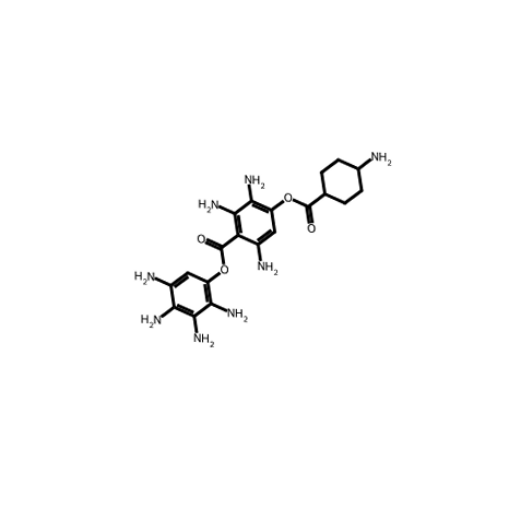 Nc1cc(OC(=O)c2c(N)cc(OC(=O)C3CCC(N)CC3)c(N)c2N)c(N)c(N)c1N